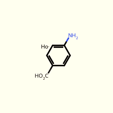 Nc1ccc(C(=O)O)cc1.[Ho]